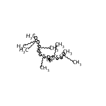 CCCCCCCCc1cc(C)sc1-c1ccc(-c2ccc(-c3sc(-c4ccc(-c5cc(CCCCCCCC)c(-c6ccc(-c7ccc(-c8sc(-c9ccc%10c(c9)C(CCCCCCCC)(CCCCCCCC)c9cc(C)ccc9-%10)cc8CCCCCCCC)s7)s6)s5)c5nsnc45)cc3CCCCCCCC)s2)s1